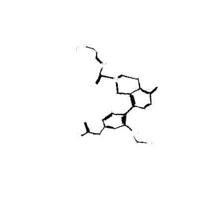 CCCNC(=O)N1CCc2c(F)ccc(-c3ccc(CC(=O)O)cc3OCC)c2C1